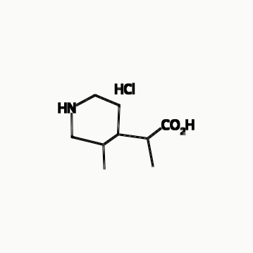 CC1CNCCC1C(C)C(=O)O.Cl